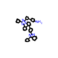 Nc1ccc(-c2cccc(-c3nc(-c4ccccc4)nc(-c4ccccc4-c4ccccc4-c4ccc(-c5nc(-c6ccccc6)c6ccccc6n5)cc4)n3)c2)cc1